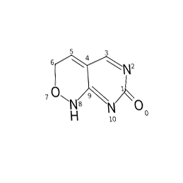 O=C1N=CC2=CCONC2=N1